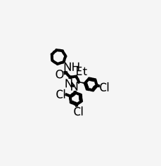 CC[C@H]1C(C(=O)NC2CCCCCC2)=NN(c2ccc(Cl)cc2Cl)[C@@H]1c1ccc(Cl)cc1